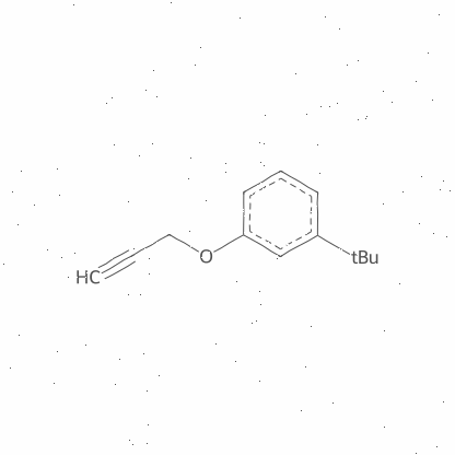 C#CCOc1cccc(C(C)(C)C)c1